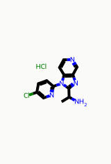 CC(N)c1nc2cnccc2n1-c1ccc(Cl)cn1.Cl